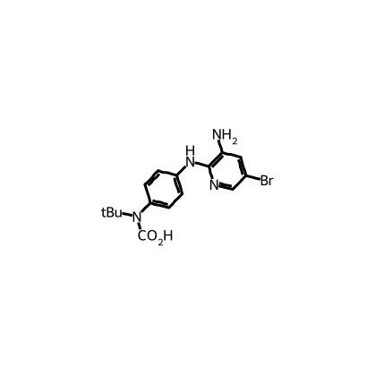 CC(C)(C)N(C(=O)O)c1ccc(Nc2ncc(Br)cc2N)cc1